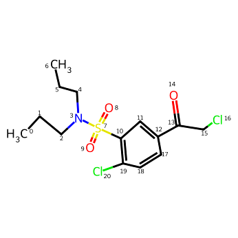 CCCN(CCC)S(=O)(=O)c1cc(C(=O)CCl)ccc1Cl